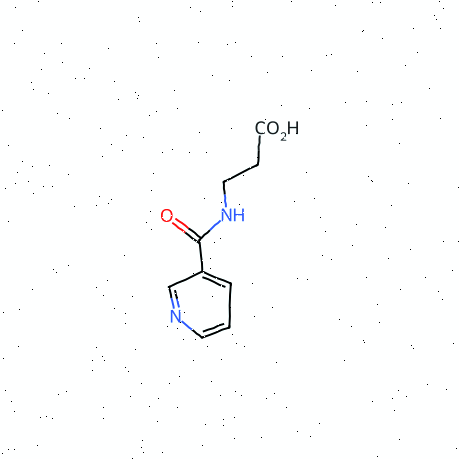 O=C(O)CCNC(=O)c1cccnc1